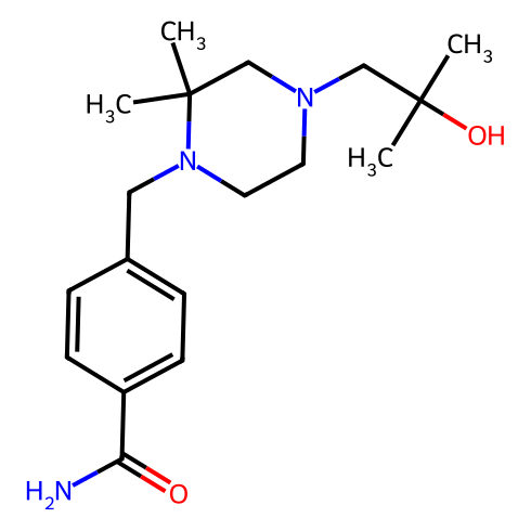 CC(C)(O)CN1CCN(Cc2ccc(C(N)=O)cc2)C(C)(C)C1